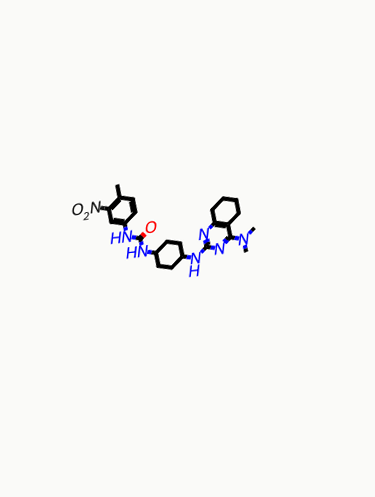 Cc1ccc(NC(=O)NC2CCC(Nc3nc4c(c(N(C)C)n3)CCCC4)CC2)cc1[N+](=O)[O-]